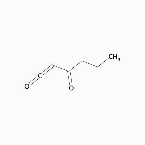 CCCC(=O)C=C=O